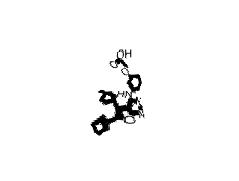 Cc1ccc(-c2c(-c3ccccc3)oc3ncnc(N[C@H]4CCC[C@H](OCC(=O)O)C4)c23)cc1